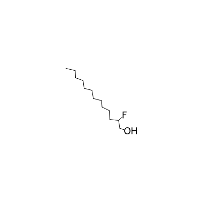 CCCCCCCCCCCC(F)CO